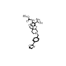 COC(=O)Nc1nn(C2(CC#N)CCN(Cc3ccc(-c4ncco4)cc3)CC2F)cc1C(N)O